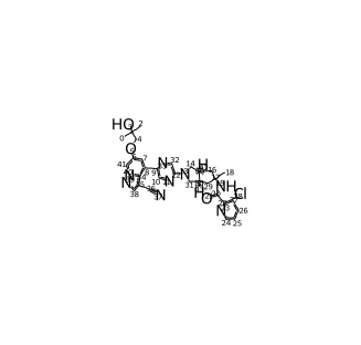 CC(C)(O)COc1cc(-c2cnc(N3C[C@@H]4CC(C)(NC(=O)c5ncccc5Cl)C[C@@H]4C3)cn2)c2c(C#N)cnn2c1